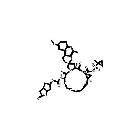 COc1ccc2nc(C)c3c(c2c1)CC[C@]1(C[C@H]2C(=O)N[C@]4(C(=O)NS(=O)(=O)C5(C)CC5)C[C@H]4/C=C\CCCCC[C@H](NC(=O)OC4CC5CC(=O)OC5C4)C(=O)N2C1)O3